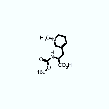 CN1CCC=C(CC(NC(=O)OC(C)(C)C)C(=O)O)C1